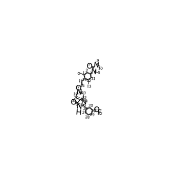 Cc1cc(N(C)C(=O)N(C)C)cc(C)c1/C=C/ON1CCC2(CC1)N=C(c1cccc(OF)c1)NC2=O